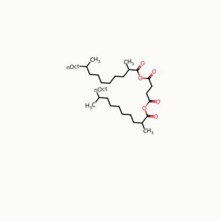 CCCCCCCCC(C)CCCCCCC(C)C(=O)OC(=O)CCC(=O)OC(=O)C(C)CCCCCCC(C)CCCCCCCC